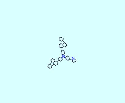 c1ccc(-c2ccc(N(c3ccc(-c4ccc5c6c(cccc46)-c4ccccc4-5)cc3)c3ccc(-c4ccc5c6c(cccc46)-c4ccccc4-5)cc3)cc2)nc1